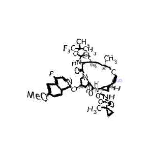 CC[C@@H]1C[C@H](C)CC/C=C\[C@@H]2C[C@@]2(C(=O)NS(=O)(=O)C2(C)CC2)NC(=O)[C@@H]2C[C@@H](Oc3ncc(F)c4cc(OC)ccc34)CN2C(=O)[C@H]1NC(=O)OC(C)(C)C(F)(F)F